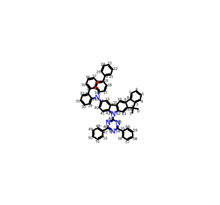 CC1(C)c2ccccc2-c2cc3c4cc(N(c5ccc(-c6ccccc6)cc5)c5ccccc5-c5ccccc5)ccc4n(-c4nc(-c5ccccc5)nc(-c5ccccc5)n4)c3cc21